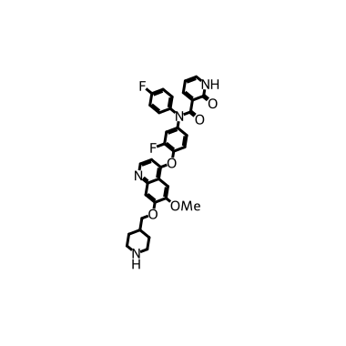 COc1cc2c(Oc3ccc(N(C(=O)c4ccc[nH]c4=O)c4ccc(F)cc4)cc3F)ccnc2cc1OCC1CCNCC1